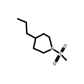 CCCC1CCN(S(C)(=O)=O)CC1